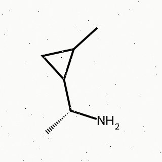 CC1CC1[C@@H](C)N